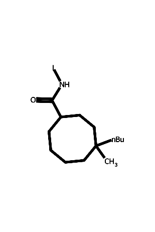 CCCCC1(C)CCCCC(C(=O)NI)CC1